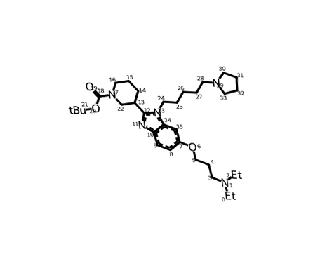 CCN(CC)CCCOc1ccc2nc(C3CCCN(C(=O)OC(C)(C)C)C3)n(CCCCCN3CCCC3)c2c1